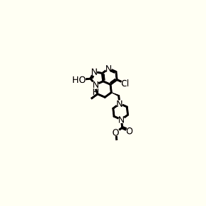 COC(=O)N1CCN(C[C@@H](CC(C)C)c2c(Cl)cnc3nc(O)[nH]c23)CC1